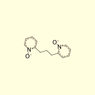 [O-][n+]1ccccc1CCCc1cccc[n+]1[O-]